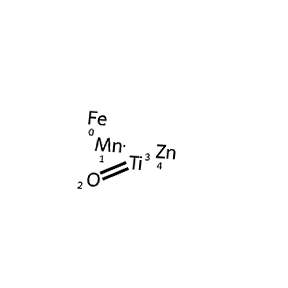 [Fe].[Mn].[O]=[Ti].[Zn]